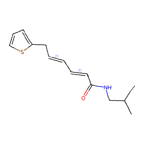 CC(C)CNC(=O)/C=C/C=C/Cc1cccs1